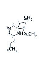 C=CCC1C[N]CC(CC=C)(CC=C)N1